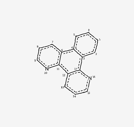 c1ccc2c(c1)c1cccnc1c1cccnc21